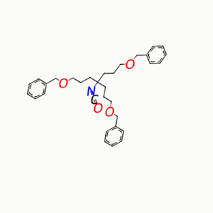 O=C=NC(CCCOCc1ccccc1)(CCCOCc1ccccc1)CCCOCc1ccccc1